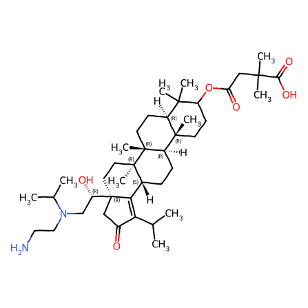 CC(C)C1=C2[C@H]3CC[C@@H]4[C@@]5(C)CCC(OC(=O)CC(C)(C)C(=O)O)C(C)(C)[C@@H]5CC[C@@]4(C)[C@]3(C)CC[C@@]2([C@@H](O)CN(CCN)C(C)C)CC1=O